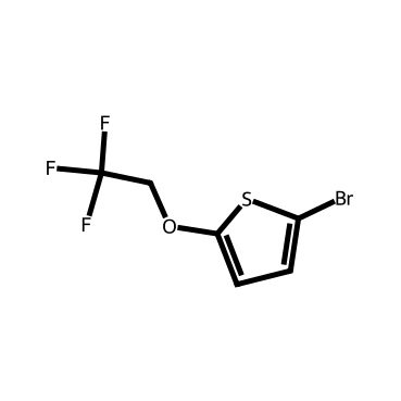 FC(F)(F)COc1ccc(Br)s1